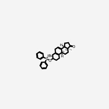 CC(C)(C)[Si](OC1CCC2=C(CC=C3[C@@H]2CC[C@]2(C)C(=O)CC[C@@H]32)C1)(c1ccccc1)c1ccccc1